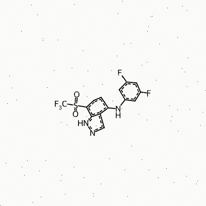 O=S(=O)(c1ccc(Nc2cc(F)cc(F)c2)c2cn[nH]c12)C(F)(F)F